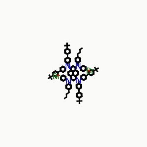 CCCCc1ccc(N(c2ccc(Br)cc2)c2cc(N(c3ccc(-c4ccc(C(C)(C)C)cc4)cc3)c3ccc(-c4ccc(C(C)(C)C)cc4)cc3)c3ccc4c(N(c5ccc(Br)cc5)c5ccc(CCCC)cc5)cc(N(c5ccc(-c6ccc(C(C)(C)C)cc6)cc5)c5ccc(-c6ccc(C(C)(C)C)cc6)cc5)c5ccc2c3c45)cc1